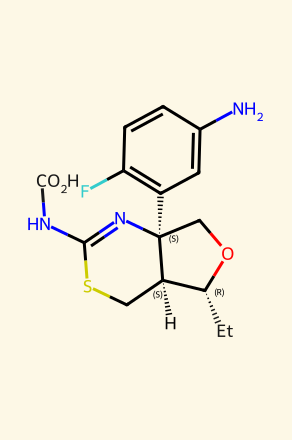 CC[C@H]1OC[C@]2(c3cc(N)ccc3F)N=C(NC(=O)O)SC[C@H]12